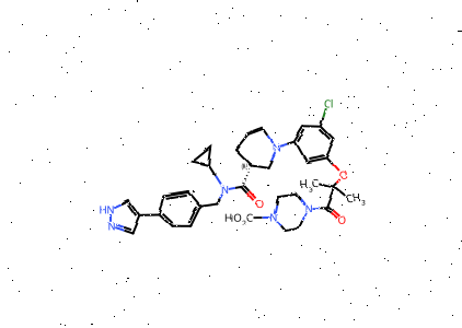 CC(C)(Oc1cc(Cl)cc(N2CCC[C@@H](C(=O)N(Cc3ccc(-c4cn[nH]c4)cc3)C3CC3)C2)c1)C(=O)N1CCN(C(=O)O)CC1